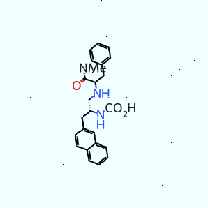 CNC(=O)C(Cc1ccccc1)NC[C@@H](Cc1ccc2ccccc2c1)NC(=O)O